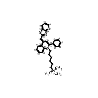 C[N+](C)(C)CCCCCCN1C(c2ccccc2)=CC(=Cc2nc3ncccc3s2)c2ccccc21